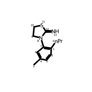 CCCc1ccc(C)cc1N1CCSC1=N